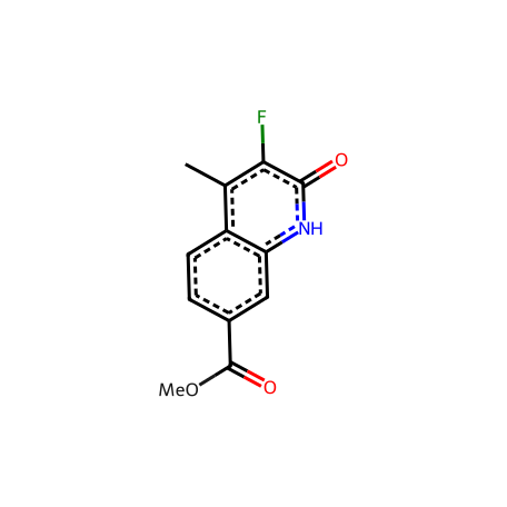 COC(=O)c1ccc2c(C)c(F)c(=O)[nH]c2c1